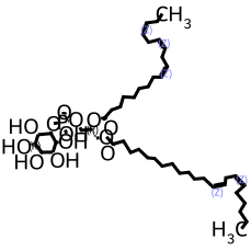 CC/C=C\C/C=C\C/C=C\CCCCCCCC(=O)O[C@H](COC(=O)CCCCCCCCCCC/C=C\C/C=C\CCCCC)COP(=O)(O)OC1C(O)C(O)C(O)[C@@H](O)C1O